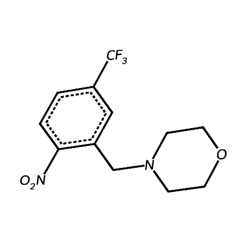 O=[N+]([O-])c1ccc(C(F)(F)F)cc1CN1CCOCC1